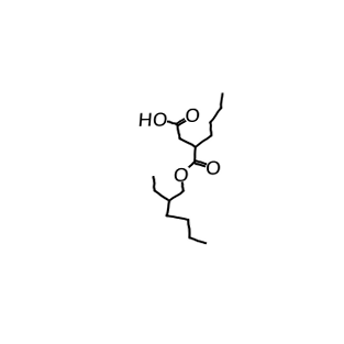 CCCCC(CC)COC(=O)C(CCCC)CC(=O)O